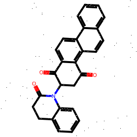 O=C1CC(N2C(=O)CCc3ccccc32)C(=O)c2ccc3c(ccc4ccccc43)c21